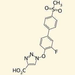 CS(=O)(=O)c1ccc(-c2ccc(On3cc(C(=O)O)nn3)c(F)c2)cc1